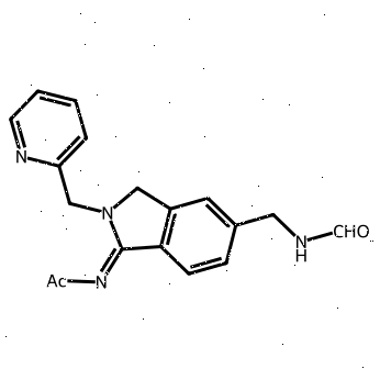 CC(=O)/N=C1/c2ccc(CNC=O)cc2CN1Cc1ccccn1